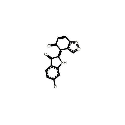 O=C1C=Cc2nocc2/C1=C1\Nc2cc(Cl)ccc2C1=O